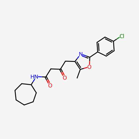 Cc1oc(-c2ccc(Cl)cc2)nc1CC(=O)CC(=O)NC1CCCCCC1